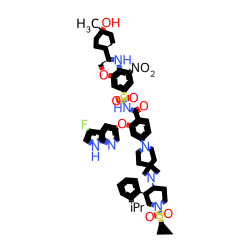 CC(C)c1ccccc1[C@H]1CN(S(=O)(=O)C2CC2)CC[C@H]1N1CC2(CCN(c3ccc(C(=O)NS(=O)(=O)c4cc5c(c([N+](=O)[O-])c4)N[C@@H]([C@H]4CC[C@](C)(O)CC4)CO5)c(Oc4cnc5[nH]cc(F)c5c4)c3)CC2)C1